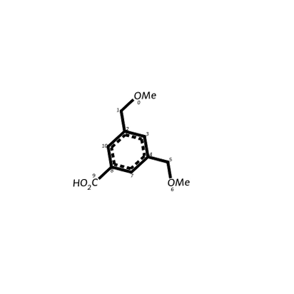 COCc1cc(COC)cc(C(=O)O)c1